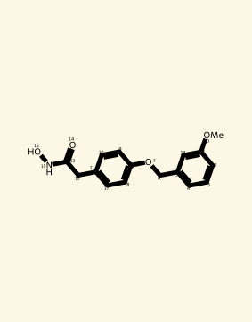 COc1cccc(COc2ccc(CC(=O)NO)cc2)c1